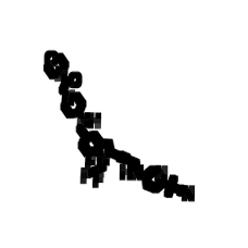 CC(C)(C#N)c1ccc(NCC#Cc2cc3cc(CNC4CCN(CC(=O)N5CCOCC5)CC4)ccc3n2CC(F)(F)F)cn1